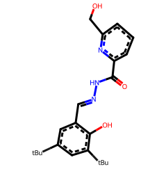 CC(C)(C)c1cc(/C=N/NC(=O)c2cccc(CO)n2)c(O)c(C(C)(C)C)c1